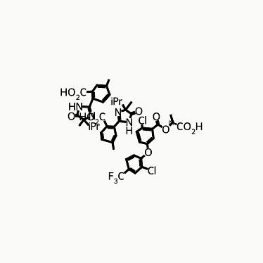 C[C@H](OC(=O)c1cc(Oc2ccc(C(F)(F)F)cc2Cl)ccc1Cl)C(=O)O.Cc1ccc(C(=O)O)c(C2=NC(C)(C(C)C)C(=O)N2)c1.Cc1ccc(C2=NC(C)(C(C)C)C(=O)N2)c(C(=O)O)c1